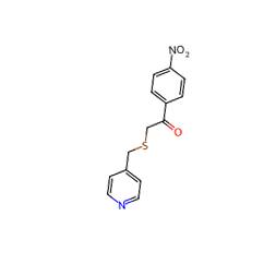 O=C(CSCc1ccncc1)c1ccc([N+](=O)[O-])cc1